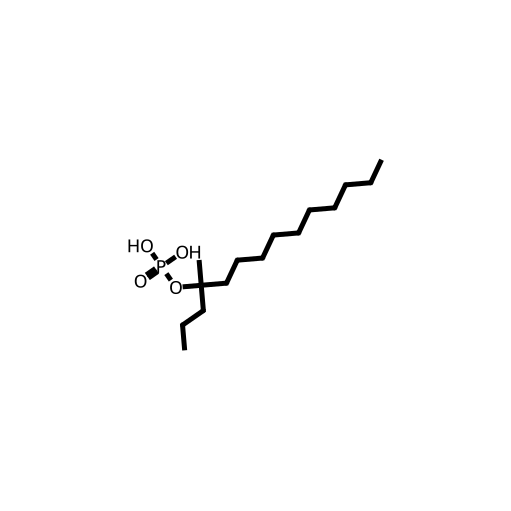 CCCCCCCCCCC(C)(CCC)OP(=O)(O)O